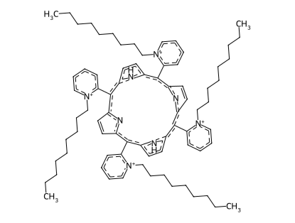 CCCCCCCCC[n+]1ccccc1-c1c2nc(c(-c3cccc[n+]3CCCCCCCCC)c3ccc([nH]3)c(-c3cccc[n+]3CCCCCCCCC)c3nc(c(-c4cccc[n+]4CCCCCCCCC)c4ccc1[nH]4)C=C3)C=C2